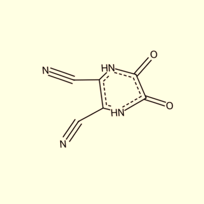 N#Cc1[nH]c(=O)c(=O)[nH]c1C#N